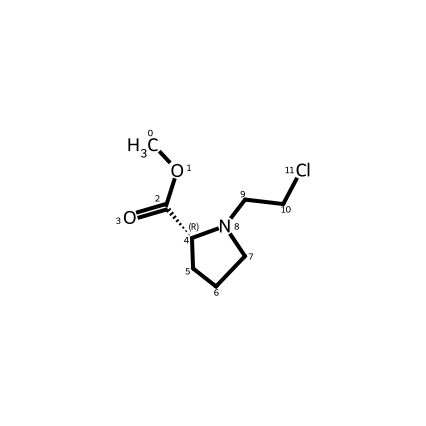 COC(=O)[C@H]1CCCN1CCCl